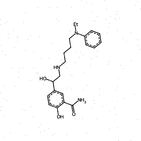 CCN(CCCCNCC(O)c1ccc(O)c(C(N)=O)c1)c1ccccc1